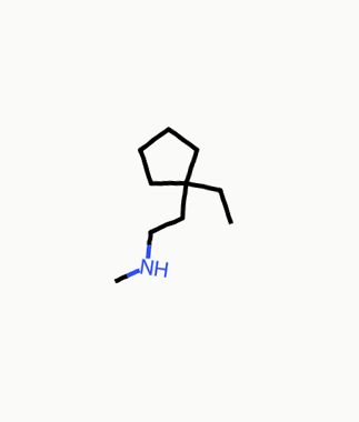 CCC1(CCNC)CCCC1